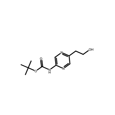 CC(C)(C)OC(=O)Nc1cnc(CCO)cn1